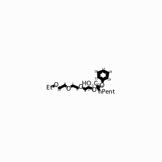 CCCCCC(OCCOCCOCCOCC)(Oc1ccccc1)C(=O)O